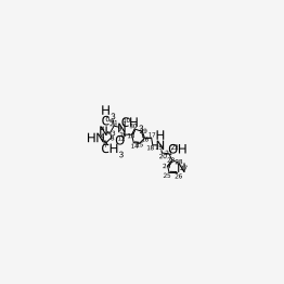 CCC(C1=NNC(C)C1)N(C)C(=O)c1ccc(CCNC[C@H](O)c2cccnc2)cc1